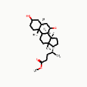 COC(=O)CCC(C)[C@H]1CC[C@H]2[C@@H]3C(O)C[C@@H]4CC(O)CCC4(C)C3CCC12C